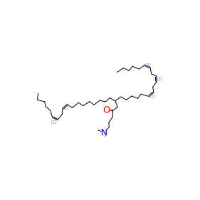 CCCCC/C=C\C/C=C\C/C=C\CCCCCC(CCCCCCCC/C=C\C/C=C\CCCCC)CC(=O)CCCN(C)C